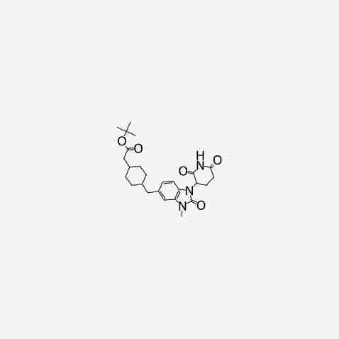 Cn1c(=O)n(C2CCC(=O)NC2=O)c2ccc(CC3CCC(CC(=O)OC(C)(C)C)CC3)cc21